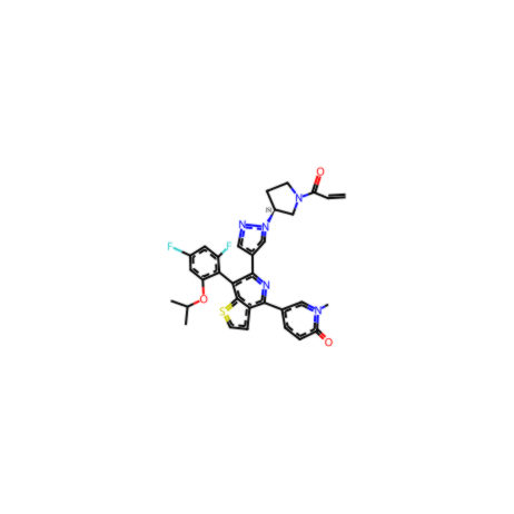 C=CC(=O)N1CC[C@H](n2cc(-c3nc(-c4ccc(=O)n(C)c4)c4ccsc4c3-c3c(F)cc(F)cc3OC(C)C)cn2)C1